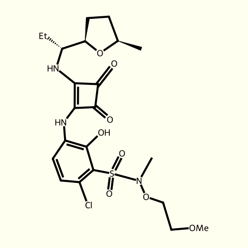 CC[C@@H](Nc1c(Nc2ccc(Cl)c(S(=O)(=O)N(C)OCCOC)c2O)c(=O)c1=O)[C@H]1CC[C@@H](C)O1